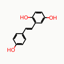 Oc1ccc(/C=C/c2cc(O)ccc2O)cc1